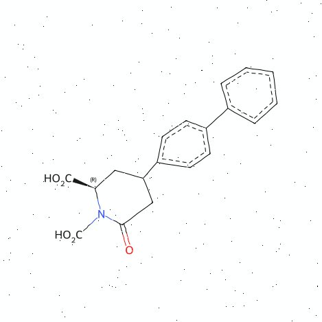 O=C(O)[C@H]1CC(c2ccc(-c3ccccc3)cc2)CC(=O)N1C(=O)O